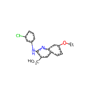 CCOc1ccc2cc(C(=O)O)c(Nc3cccc(Cl)c3)nc2c1